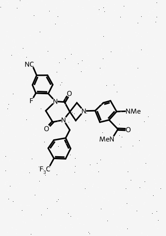 CNC(=O)c1cc(N2CC3(C2)C(=O)N(c2ccc(C#N)cc2F)CC(=O)N3Cc2ccc(C(F)(F)F)cc2)ccc1NC